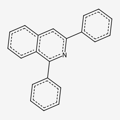 c1ccc(-c2cc3ccccc3c(-c3ccccc3)n2)cc1